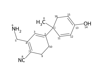 CC1(C2=CC(CN)=C(C#N)CC2)C=CC(O)=CC1